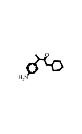 CC(C(=O)CC1CCCCC1)c1ccc(N)cc1